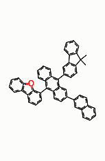 CC1(C)c2ccccc2-c2cc(-c3c4ccccc4c(-c4cccc5c4oc4ccccc45)c4ccc(-c5ccc6ccccc6c5)cc34)ccc21